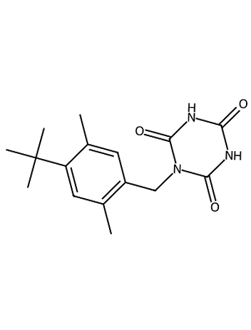 Cc1cc(C(C)(C)C)c(C)cc1Cn1c(=O)[nH]c(=O)[nH]c1=O